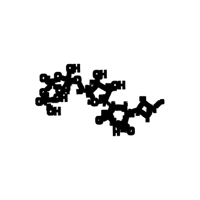 CN1CC(n2cc([C@@H]3O[C@H](COP(=O)(O)OP(=O)(O)OP(=O)(O)O)C(O)C3O)c(=O)[nH]c2=O)C1